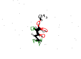 CCOC(=O)C(Cl)C(=O)CC(F)(F)F